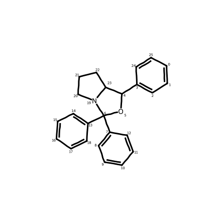 c1ccc(C2OC(c3ccccc3)(c3ccccc3)N3CCCC23)cc1